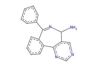 NC1N=C(c2ccccc2)c2ccccc2-c2ncncc21